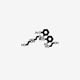 CC(=O)Oc1ccccc1S.CC(=O)Oc1ccccc1S.OCCO.OCCO.OCCO